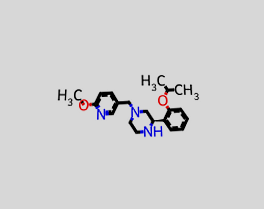 COc1ccc(CN2CCN[C@H](c3ccccc3OC(C)C)C2)cn1